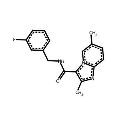 Cc1ccc2nc(C)c(C(=O)NCc3cccc(F)c3)n2c1